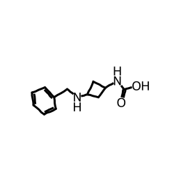 O=C(O)NC1CC(NCc2ccccc2)C1